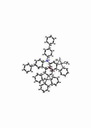 CC1(C)c2ccccc2-c2ccc(N(c3ccc(-c4ccccc4)cc3)c3ccc(-c4ccccc4)cc3-c3cccc4c3-c3ccccc3C43c4ccccc4-c4ccccc43)cc21